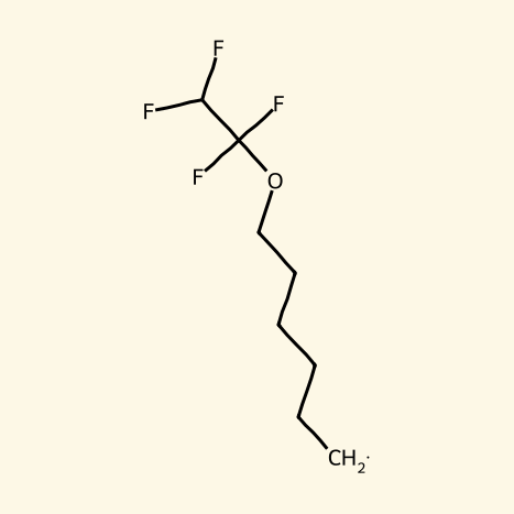 [CH2]CCCCCOC(F)(F)C(F)F